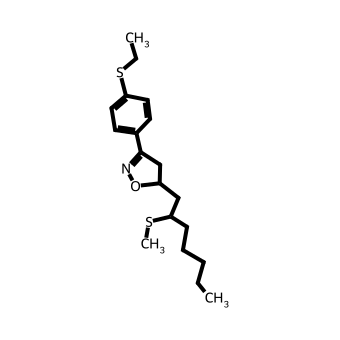 CCCCCC(CC1CC(c2ccc(SCC)cc2)=NO1)SC